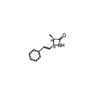 C[C@H]1C(=O)N[C@H]1C=Cc1ccccc1